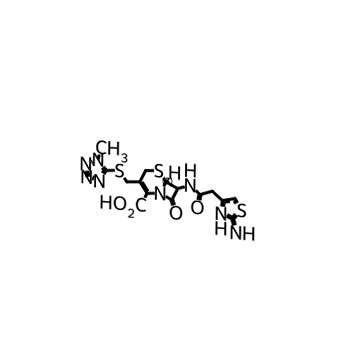 Cn1nnnc1SCC1=C(C(=O)O)N2C(=O)C(NC(=O)Cc3csc(=N)[nH]3)[C@@H]2SC1